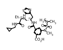 CC[C@H](NC[C@H](Cc1cscn1)NC(=O)c1cc(C(=O)O)cc(N(C)S(=O)(=O)N(C)C)c1)C(=O)NCC1CC1